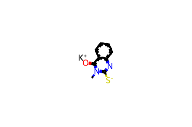 Cn1c([S-])nc2ccccc2c1=O.[K+]